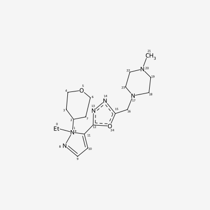 CC[N+]1(C2CCOCC2)N=CC=C1c1nnc(CN2CCN(C)CC2)o1